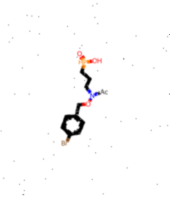 CC(=O)N(CCC[PH](=O)O)OCc1ccc(Br)cc1